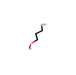 CC(C)OCCC[C]=O